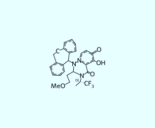 COCCC1N([C@@H](C)C(F)(F)F)C(=O)c2c(O)c(=O)ccn2N1C1c2ccccc2CCc2ccccc21